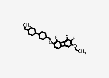 C=CC1CCC(C2CCC(COc3ccc4c(c3F)-c3c-4cc(OCC)c(F)c3F)CC2)CC1